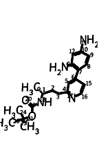 C[C@@H](CCc1cc(-c2ccc(N)cc2N)ccn1)NC(=O)OC(C)(C)C